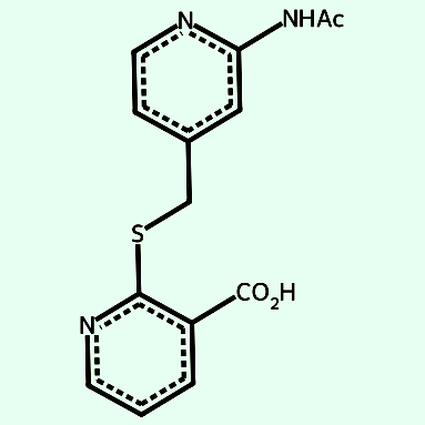 CC(=O)Nc1cc(CSc2ncccc2C(=O)O)ccn1